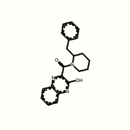 O=C(c1nc2ccccc2nc1O)N1CCCCC1Cc1ccccc1